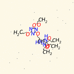 C=CC(=O)N1CNCNC1(C(=O)C=C)C(=O)C=C.C=CCOc1nc(OCC=C)nc(OC(=O)C=C)n1